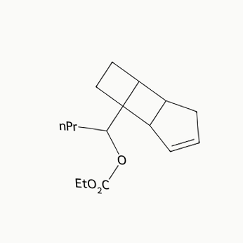 CCCC(OC(=O)OCC)C12CCC1C1CC=CC12